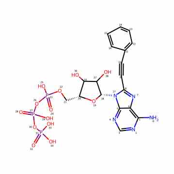 Nc1ncnc2c1nc(C#Cc1ccccc1)n2[C@@H]1O[C@H](COP(=O)(O)OP(=O)(O)OP(=O)(O)O)C(O)C1O